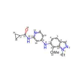 CCn1ncc2ccc(Nc3ccnc(NC(=O)C4CC4)c3)c(OC)c21